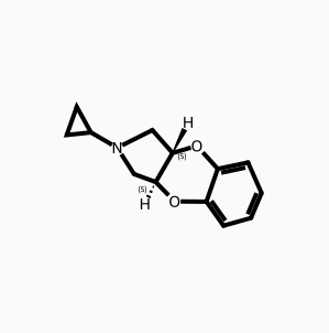 c1ccc2c(c1)O[C@H]1CN(C3CC3)C[C@@H]1O2